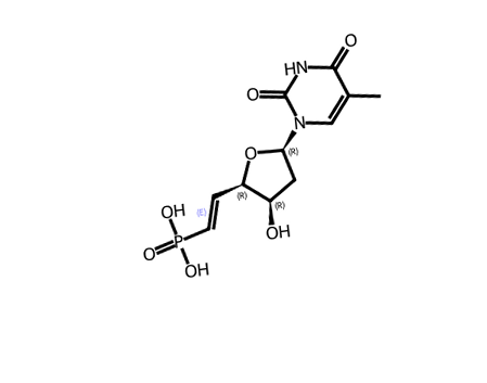 Cc1cn([C@H]2C[C@@H](O)[C@@H](/C=C/P(=O)(O)O)O2)c(=O)[nH]c1=O